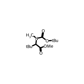 COC(=O)C(N(C)C(=O)OC(C)(C)C)C(C)(C)C